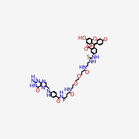 C[C@H](CCC(=O)NCCOCCOCCC(=O)NCCNC(=S)Nc1ccc(-c2c3ccc(=O)cc-3oc3cc(O)ccc23)c(C(=O)O)c1)NC(=O)c1ccc(NCc2cnc3nc(N)[nH]c(=O)c3n2)cc1